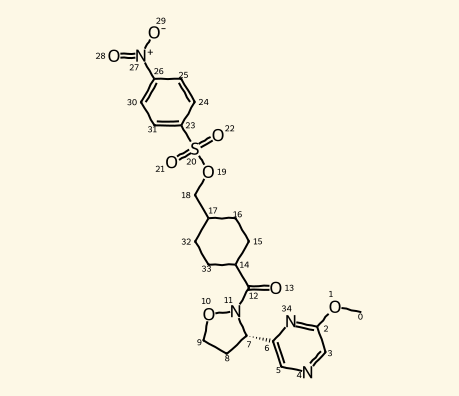 COc1cncc([C@@H]2CCON2C(=O)C2CCC(COS(=O)(=O)c3ccc([N+](=O)[O-])cc3)CC2)n1